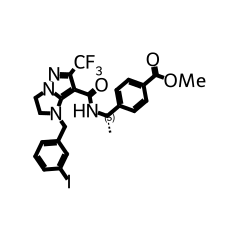 COC(=O)c1ccc([C@H](C)NC(=O)c2c(C(F)(F)F)nn3c2N(Cc2cccc(I)c2)CC3)cc1